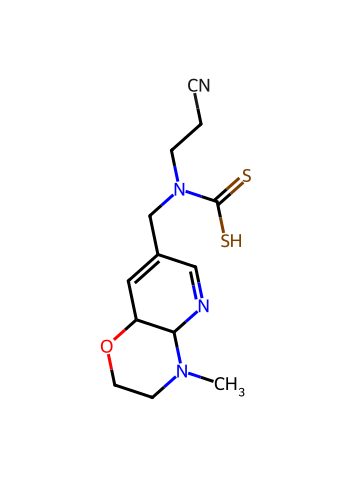 CN1CCOC2C=C(CN(CCC#N)C(=S)S)C=NC21